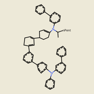 CCCCCC(C)N(C1=CCC(C2=CCCC(c3cccc(-c4ccc(N(c5ccccc5)c5cccc(-c6ccccc6)c5)cc4)c3)=C2)CC1)c1cccc(-c2ccccc2)c1